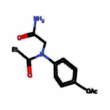 CCC(=O)N(CC(N)=O)c1ccc(OC(C)=O)cc1